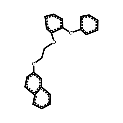 c1ccc(Oc2ccccc2OCCOc2ccc3ccccc3c2)cc1